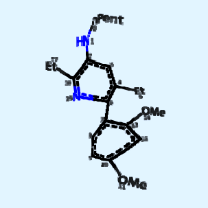 CCCCCNc1cc(CC)c(-c2ccc(OC)cc2OC)nc1CC